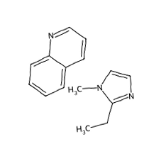 CCc1nccn1C.c1ccc2ncccc2c1